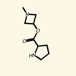 CN1CC(OC(=O)C2CCCN2)C1